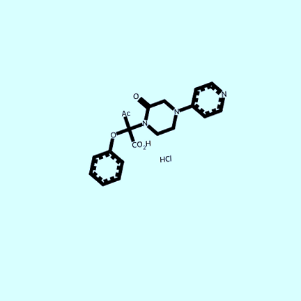 CC(=O)C(Oc1ccccc1)(C(=O)O)N1CCN(c2ccncc2)CC1=O.Cl